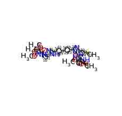 COC(=O)N[C@H](C(=O)N1CCC[C@H]1c1ncc(-c2ccc(-c3ccc(-c4cnc([C@@H]5C[C@H](SC)CN5C(=O)[C@@H](NC(=O)OC)[C@@H](C)OC)[nH]4)cc3)cc2)[nH]1)[C@@H](C)OC